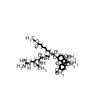 CCOC(=O)CCCCCN(CCNC(=O)[C@H](CCCNC(=N)N)NC(C)=O)C(=O)OC1=CCC2(O)[C@@H](C)N(C)CC[C@@]23c2c(C)ccc(OC)c2OC13